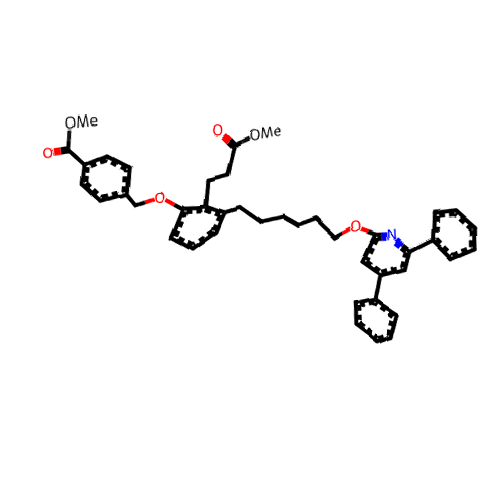 COC(=O)CCc1c(CCCCCCOc2cc(-c3ccccc3)cc(-c3ccccc3)n2)cccc1OCc1ccc(C(=O)OC)cc1